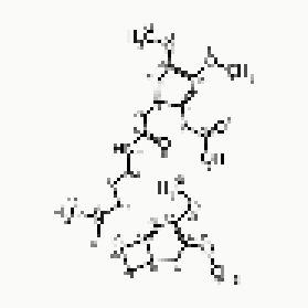 COc1cc(CC(=O)O)c(CC(=O)NCCCN(C)C[C@H]2Cc3cc(OC)c(OC)cc32)cc1OC